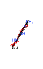 CC(C)(C)C(=O)COCCOCCNC(=O)COCCOCCNC(=O)COCCOCCNC(=O)CCCCN